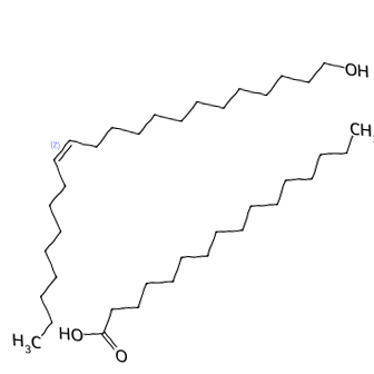 CCCCCCCC/C=C\CCCCCCCCCCCCO.CCCCCCCCCCCCCCCC(=O)O